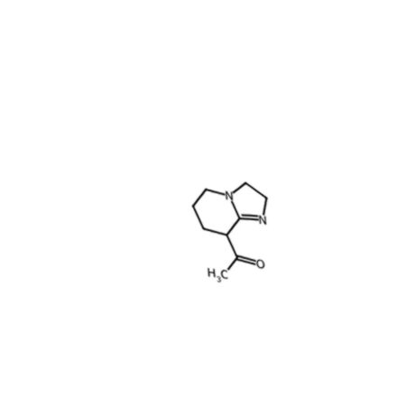 CC(=O)C1CCCN2CCN=C12